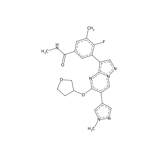 CNC(=O)c1cc(C)c(F)c(-c2cnn3cc(-c4cnn(C)c4)c(OC4CCOC4)nc23)c1